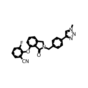 Cn1cc(-c2ccc(CN3Cc4cccc(Oc5c(F)cccc5C#N)c4C3=O)cc2)nn1